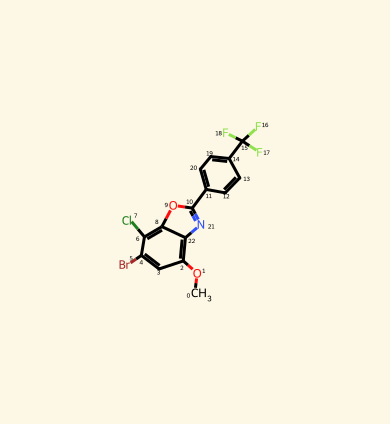 COc1cc(Br)c(Cl)c2oc(-c3ccc(C(F)(F)F)cc3)nc12